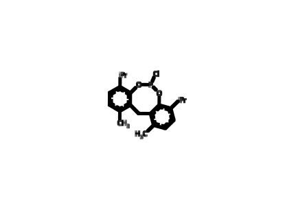 Cc1ccc(C(C)C)c2c1Cc1c(C)ccc(C(C)C)c1OP(Cl)O2